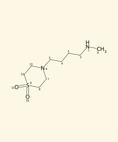 CNCCCCN1CCS(=O)(=O)CC1